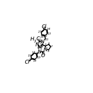 Cc1nnc(C2CCCN2C(=O)Nc2ccc(Cl)cc2)n1Cc1ccc(Cl)cc1